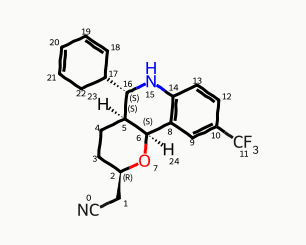 N#CC[C@H]1CC[C@@H]2[C@H](O1)c1cc(C(F)(F)F)ccc1N[C@H]2C1C=CC=CC1